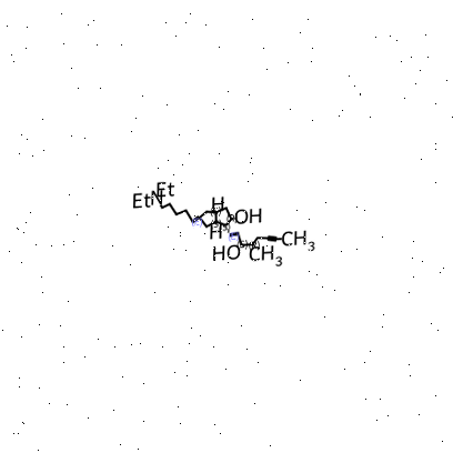 CC#CC[C@@H](C)[C@H](O)/C=C/[C@@H]1[C@H]2C/C(=C/CCCCN(CC)CC)C[C@H]2C[C@H]1O